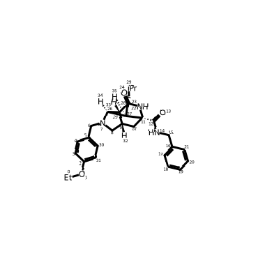 CCOc1ccc(CN2C[C@H]3C[C@]4(C(=O)NCc5ccccc5)NC(=O)[C@H]3[C@H]2[C@H]4CC(C)C)cc1